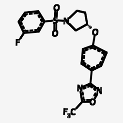 O=S(=O)(c1cccc(F)c1)N1CC[C@H](Oc2ccc(-c3noc(C(F)(F)F)n3)cc2)C1